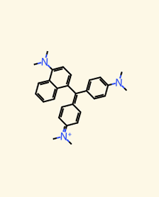 CN(C)c1ccc(C(=C2C=CC(=[N+](C)C)C=C2)c2ccc(N(C)C)c3ccccc23)cc1